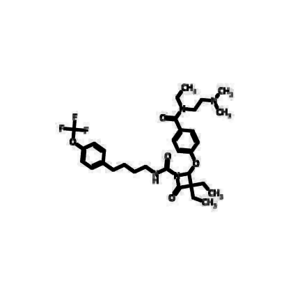 CCN(CCN(C)C)C(=O)c1ccc(OC2N(C(=O)NCCCCc3ccc(OC(F)(F)F)cc3)C(=O)C2(CC)CC)cc1